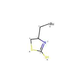 CCCCCC1CSC(S)=N1